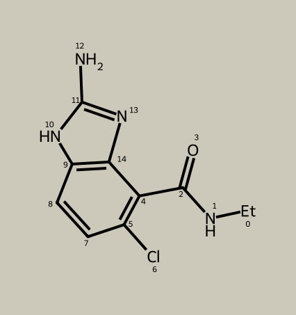 CCNC(=O)c1c(Cl)ccc2[nH]c(N)nc12